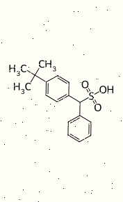 CC(C)(C)c1ccc(C(c2ccccc2)S(=O)(=O)O)cc1